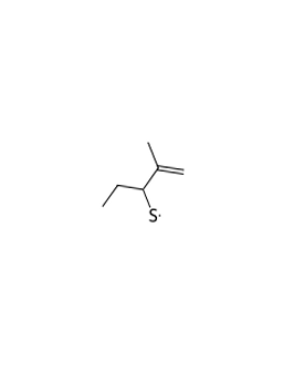 C=C(C)C([S])CC